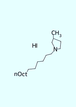 CCCCCCCCCCCCCCN1CCC(C)C1.I